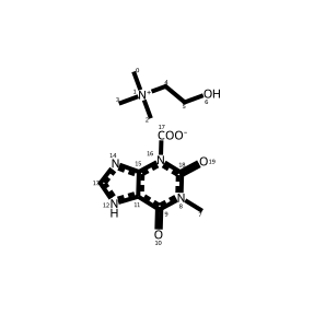 C[N+](C)(C)CCO.Cn1c(=O)c2[nH]cnc2n(C(=O)[O-])c1=O